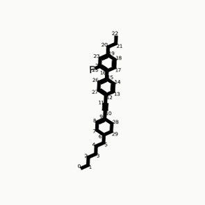 CCCCCCC1CC=C(C#Cc2ccc(-c3ccc(CCC)cc3F)cc2)CC1